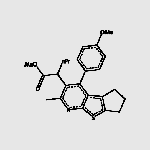 CCCC(C(=O)OC)c1c(C)nc2sc3c(c2c1-c1ccc(OC)cc1)CCC3